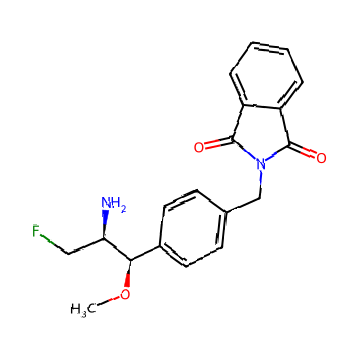 CO[C@H](c1ccc(CN2C(=O)c3ccccc3C2=O)cc1)[C@H](N)CF